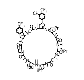 CC[C@H](C)[C@@H]1NC(=O)[C@H](CC(C)C)N(C)C(=O)C[C@@H](C)N(C)C(=O)[C@H](CC(C)C)NC(=O)C(C)(C)N(C)C(=O)[C@H](CC(C)C)NC(=O)[C@H](CCc2ccc(C(F)(F)F)c(Cl)c2)NC(=O)CN(C)C(=O)[C@H](Cc2ccc(C(F)(F)F)cc2)N(C)C(=O)[C@@H]2CCN2C(=O)[C@H](C)N(C)C1=O